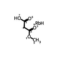 COC(=O)CC(=O)O.[RbH]